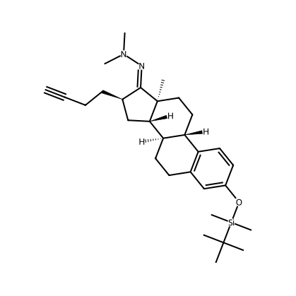 C#CCC[C@@H]1C[C@H]2[C@@H]3CCc4cc(O[Si](C)(C)C(C)(C)C)ccc4[C@H]3CC[C@]2(C)/C1=N/N(C)C